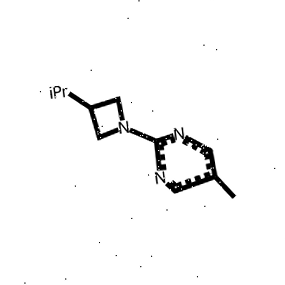 Cc1cnc(N2CC(C(C)C)C2)nc1